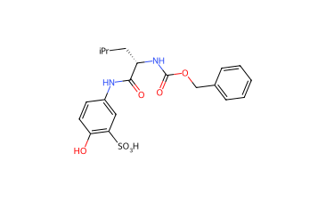 CC(C)C[C@H](NC(=O)OCc1ccccc1)C(=O)Nc1ccc(O)c(S(=O)(=O)O)c1